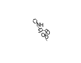 CCOC(=O)c1occc1-c1csc(CNc2ccccc2)c1